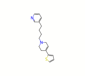 C1=C(c2cccs2)CCN(CCCCc2cccnc2)C1